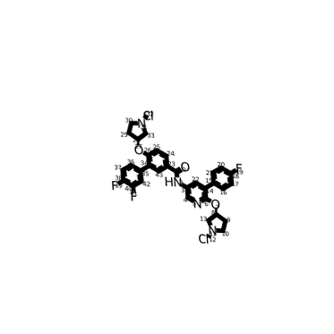 O=C(Nc1cnc(O[C@H]2CCN(Cl)C2)c(-c2ccc(F)cc2)c1)c1ccc(O[C@H]2CCN(Cl)C2)c(-c2ccc(F)c(F)c2)c1